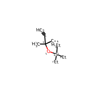 C#CC(C)(C)O[Si](CC)(CC)CC